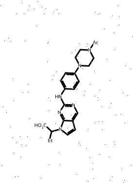 CCC(C(=O)O)n1ccc2cnc(Nc3ccc(N4CCN(C(C)=O)CC4)cc3)nc21